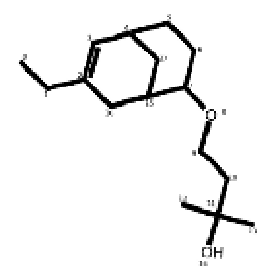 CCC1=CC2CCC(OCCC(C)(C)O)C(C1)C2